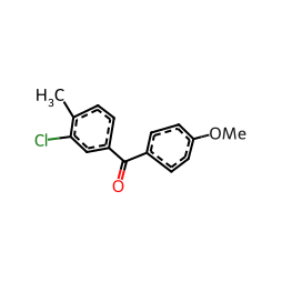 COc1ccc(C(=O)c2ccc(C)c(Cl)c2)cc1